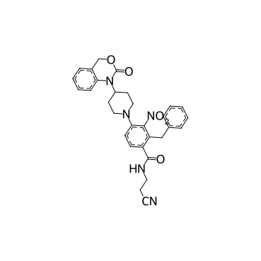 N#CCCNC(=O)c1ccc(N2CCC(N3C(=O)OCc4ccccc43)CC2)c([N+](=O)[O-])c1Cc1ccccc1